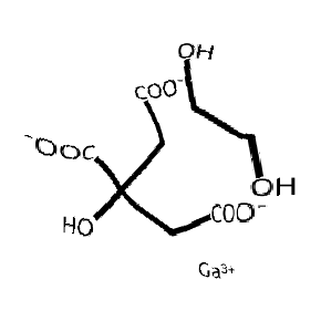 O=C([O-])CC(O)(CC(=O)[O-])C(=O)[O-].OCCO.[Ga+3]